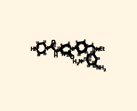 CCN(Cc1ccc(-n2ccc(NC(=O)N3CCNCC3)nc2=O)cc1)C1C[C@@H](N)C[C@@H](N)C1